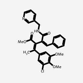 COC(=O)C(C(=Cc1ccccc1)C(=O)NCc1cccnc1)=C(C)c1cc(Cl)c(OC)c(OC)c1